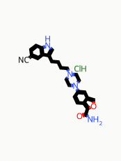 Cl.N#Cc1ccc2[nH]cc(CCCCN3CCN(c4ccc5c(C(N)=O)occ5c4)CC3)c2c1